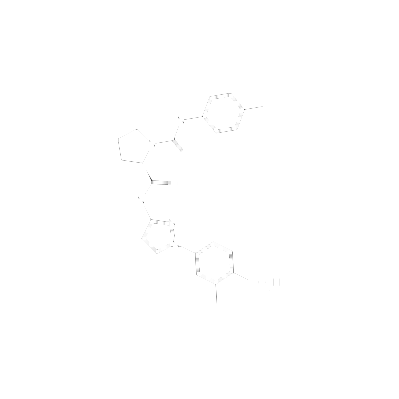 Cc1cc(-n2ccc(NC(=O)[C@H]3CCCN3C(=O)Nc3ccc(C(F)(F)F)cc3)n2)ccc1C(=O)O